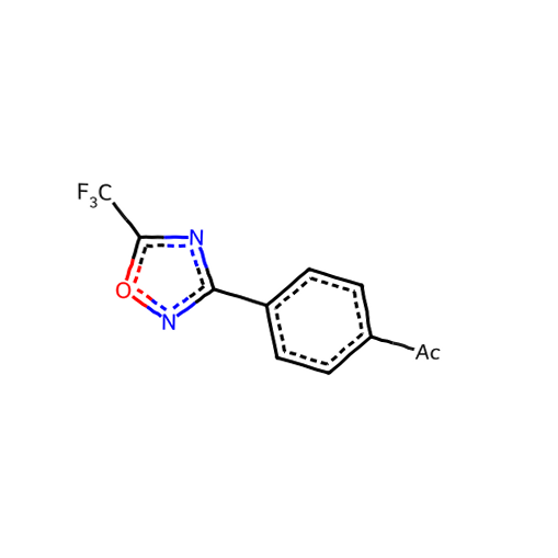 CC(=O)c1ccc(-c2noc(C(F)(F)F)n2)cc1